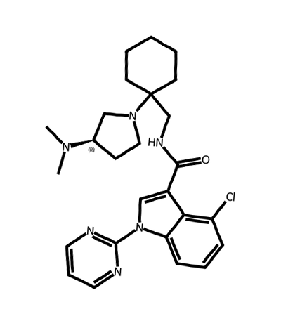 CN(C)[C@@H]1CCN(C2(CNC(=O)c3cn(-c4ncccn4)c4cccc(Cl)c34)CCCCC2)C1